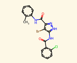 Cc1ccccc1NC(=O)c1n[nH]c(NC(=O)c2ccccc2Cl)c1Br